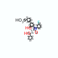 O=C1[C@H](CC[C@H](O)c2ccccc2)[C@@H](c2ccc(-c3cccc(S(=O)(=O)O)c3)cc2O)N1c1cccc(F)c1